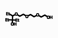 CCC(OCCOCCOCCO)C(O)(CC)CC